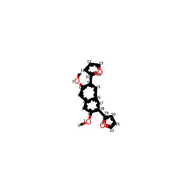 COc1cc2cc(OC)c(-c3ccco3)cc2cc1-c1ccco1